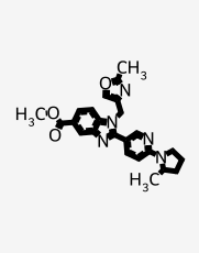 COC(=O)c1ccc2c(c1)nc(-c1ccc(N3CCCC3C)nc1)n2Cc1coc(C)n1